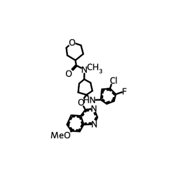 COc1ccc2c(OC3(Nc4ccc(F)c(Cl)c4)CCC(N(C)C(=O)C4CCOCC4)CC3)ncnc2c1